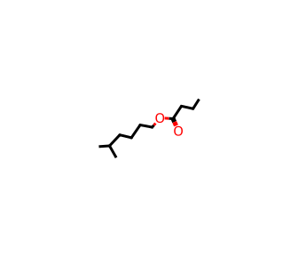 CCCC(=O)OCCCCC(C)C